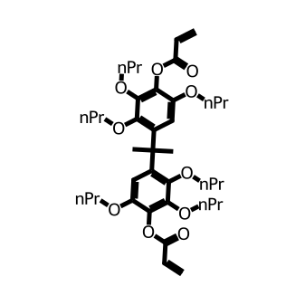 C=CC(=O)Oc1c(OCCC)cc(C(C)(C)c2cc(OCCC)c(OC(=O)C=C)c(OCCC)c2OCCC)c(OCCC)c1OCCC